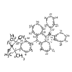 CC1(C)c2ccc(-c3c4ccccc4c(N(c4ccccc4)c4ccccc4)c4ccccc34)cc2C(C)(C)C1(F)F